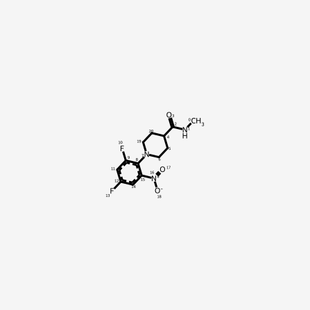 CNC(=O)C1CCN(c2c(F)cc(F)cc2[N+](=O)[O-])CC1